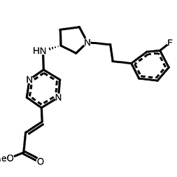 COC(=O)C=Cc1cnc(N[C@@H]2CCN(CCc3cccc(F)c3)C2)cn1